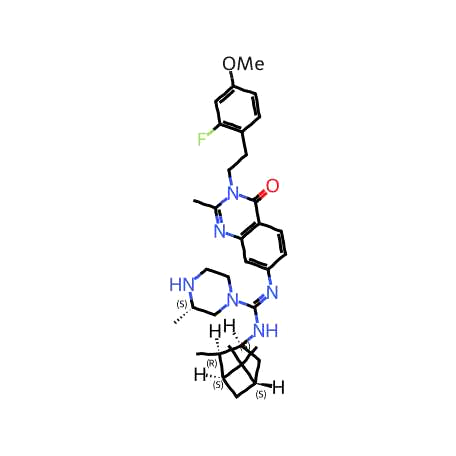 COc1ccc(CCn2c(C)nc3cc(N=C(N[C@H]4C[C@@H]5C[C@@H]([C@H]4C)C5(C)C)N4CCN[C@@H](C)C4)ccc3c2=O)c(F)c1